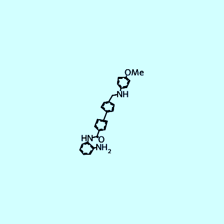 COc1ccc(NCc2ccc(-c3ccc(C(=O)Nc4ccccc4N)cc3)cc2)cc1